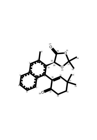 Cc1cc2ccccc2c(C2=CC(C)(C)CCC2=O)c1[C@@H]1OC(C)(C)OC1=O